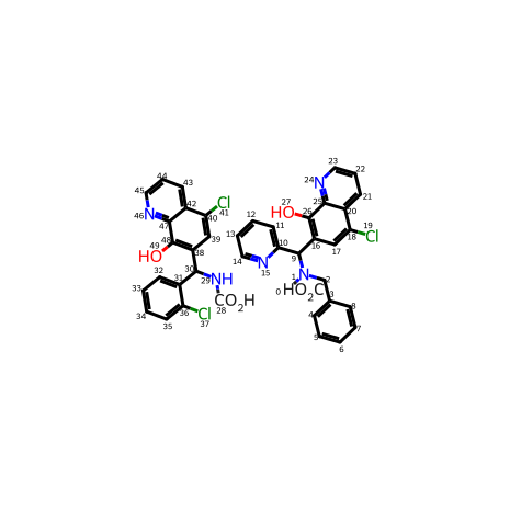 O=C(O)N(Cc1ccccc1)C(c1ccccn1)c1cc(Cl)c2cccnc2c1O.O=C(O)NC(c1ccccc1Cl)c1cc(Cl)c2cccnc2c1O